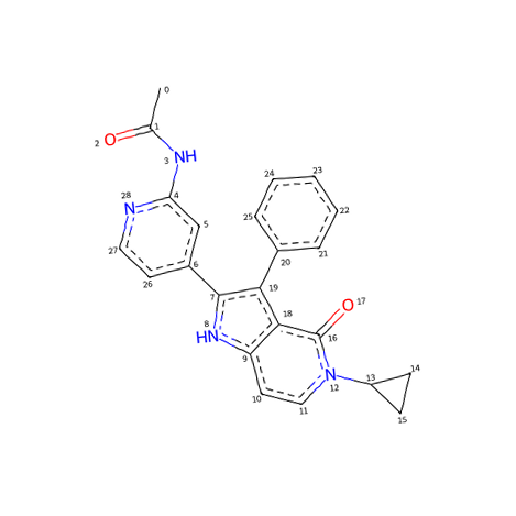 CC(=O)Nc1cc(-c2[nH]c3ccn(C4CC4)c(=O)c3c2-c2ccccc2)ccn1